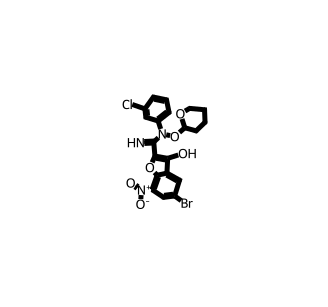 N=C(c1oc2c([N+](=O)[O-])cc(Br)cc2c1O)N(OC1CCCCO1)c1cccc(Cl)c1